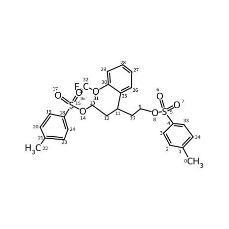 Cc1ccc(S(=O)(=O)OCCC(CCOS(=O)(=O)c2ccc(C)cc2)c2ccccc2OC(F)(F)F)cc1